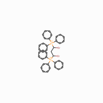 BrC(CC(Br)[PH](c1ccccc1)(c1ccccc1)c1ccccc1)[PH](c1ccccc1)(c1ccccc1)c1ccccc1